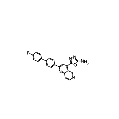 Nc1nnc(-c2cc(-c3ccc(-c4ccc(F)cc4)cc3)nc3ccncc23)o1